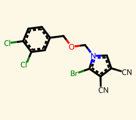 N#Cc1cn(COCc2ccc(Cl)c(Cl)c2)c(Br)c1C#N